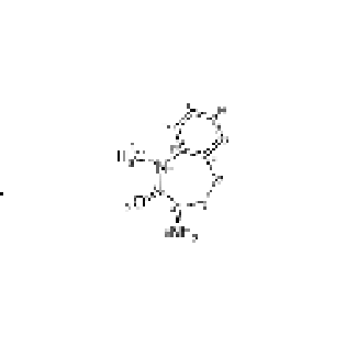 CN1C(=O)[C@H](N)CCc2ccccc21